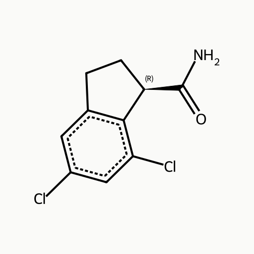 NC(=O)[C@@H]1CCc2cc(Cl)cc(Cl)c21